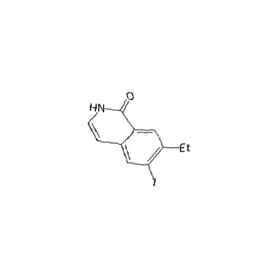 CCc1cc2c(=O)[nH]ccc2cc1I